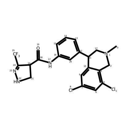 CN1Cc2c(Cl)cc(Cl)cc2C(c2cccc(NC(=O)C3CNN=C3C(F)(F)F)c2)C1